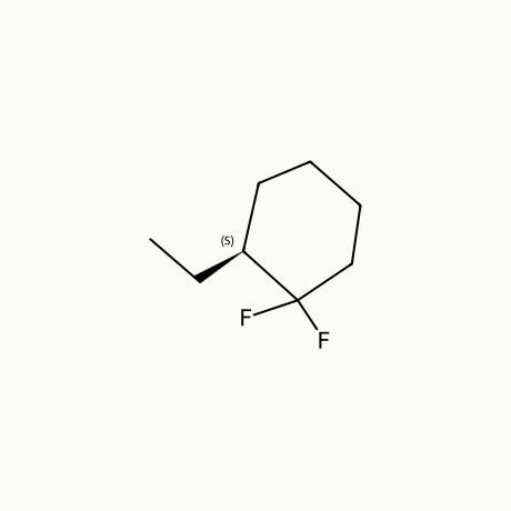 CC[C@H]1CCCCC1(F)F